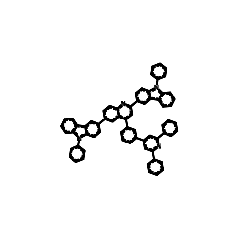 c1ccc(-c2cc(-c3cccc(-c4cc(-c5ccc6c(c5)c5ccccc5n6-c5ccccc5)nc5ccc(-c6ccc7c(c6)c6ccccc6n7-c6ccccc6)cc45)c3)cc(-c3ccccc3)n2)cc1